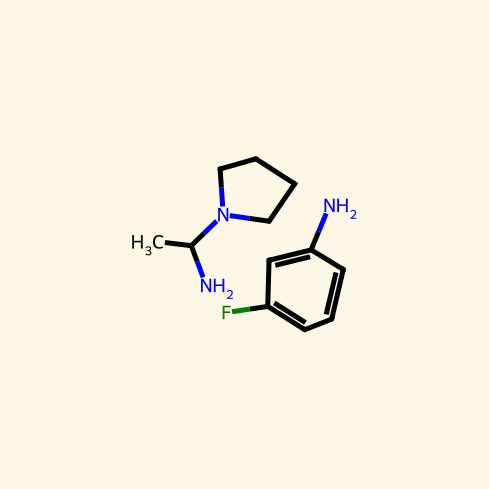 CC(N)N1CCCC1.Nc1cccc(F)c1